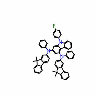 CC1(C)c2ccccc2-c2cc(N(c3ccccc3)c3cc(N(c4ccccc4)c4ccc5c(c4)C(C)(C)c4ccccc4-5)cc4c3c3ccccc3n4-c3ccc(F)cc3)ccc21